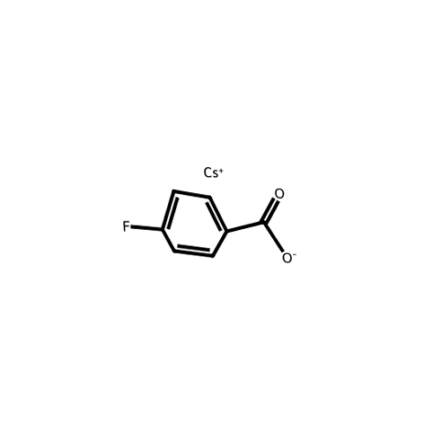 O=C([O-])c1ccc(F)cc1.[Cs+]